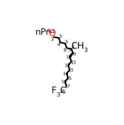 CCCOCCCCCC(C)/C=C/CCCCCCCC(F)(F)F